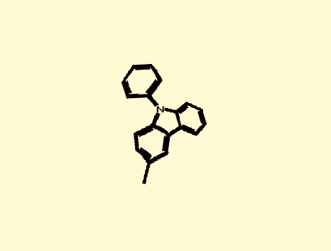 Cc1ccc2c(c1)c1ccccc1n2-c1ccccc1